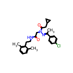 C/C(=N\N(CC(=O)NCCc1c(C)cccc1C)C(=O)CC1CC1)c1ccc(Cl)cc1